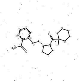 CC1(C(=O)N2CCC[C@@H]2COc2cccnc2C(N)=O)CCCCC1